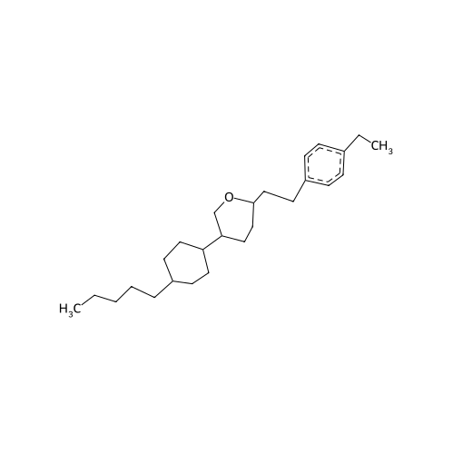 CCCCCC1CCC(C2CCC(CCc3ccc(CC)cc3)OC2)CC1